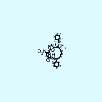 O=[N+]([O-])c1cc(C(F)(F)F)c2nc1-c1nnc(o1)C(OCc1ccccc1)(C(F)(F)F)CCC=CCC(c1ccccc1)N2